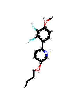 CCCCOc1ccc(-c2ccc(OC)c(F)c2F)nc1